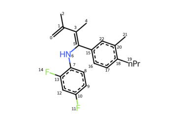 C=C(C)/C(C)=C(\Nc1ccc(F)cc1F)c1ccc(CCC)c(C)c1